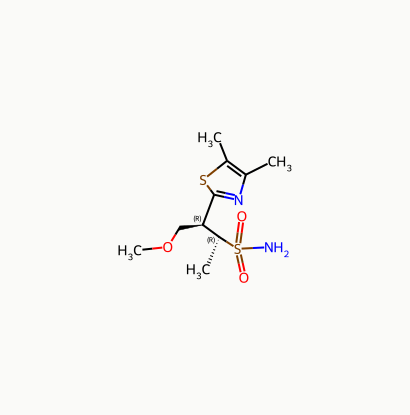 COC[C@@H](c1nc(C)c(C)s1)[C@@H](C)S(N)(=O)=O